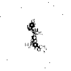 CC(C)C1=CC2OC3(CCN(C(C)CNc4ccnc5cc(Cl)ccc45)CC3)OOC2(C)CC1